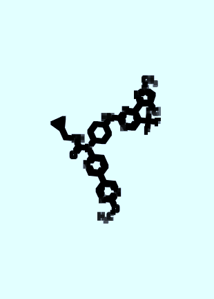 COc1ncc(-c2ccc(N(C(=O)NCC3CC3)C3CCC(Nc4ncc(C(F)(F)F)c(-c5nn(C)cc5Cl)n4)CC3)nc2)cn1